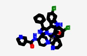 C[C@@H](c1ccc(Cl)cc1)n1cnc(-c2ccccc2)c1-c1c(C(=O)Nc2cccnc2N2CCC(NC(=O)c3cccnc3)CC2)[nH]c2cc(Cl)ccc12